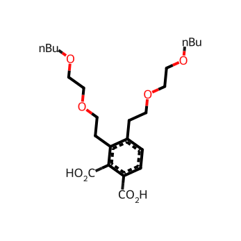 CCCCOCCOCCc1ccc(C(=O)O)c(C(=O)O)c1CCOCCOCCCC